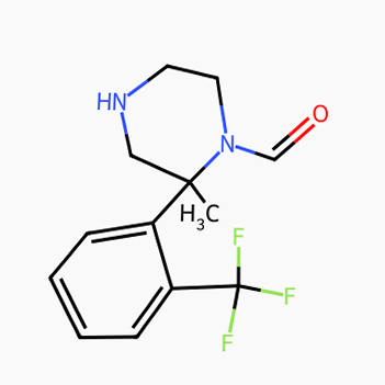 CC1(c2ccccc2C(F)(F)F)CNCCN1C=O